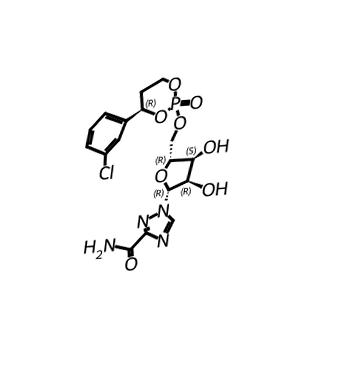 NC(=O)c1ncn([C@@H]2O[C@H](COP3(=O)OCC[C@H](c4cccc(Cl)c4)O3)[C@@H](O)[C@H]2O)n1